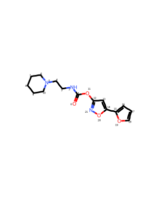 O=C(NCCN1CCCCC1)Oc1cc(-c2ccco2)on1